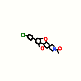 CC(=O)N1CCC2(CC1)CC(=O)C(c1c(C)cc(-c3ccc(Cl)cc3)cc1C)C(=O)C2